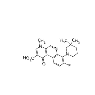 Cn1cc(C(=O)O)c(=O)c2c3ccc(F)c(N4CCCC(C)(C)C4)c3ncc21